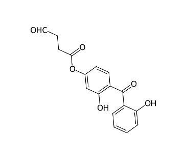 O=CCCC(=O)Oc1ccc(C(=O)c2ccccc2O)c(O)c1